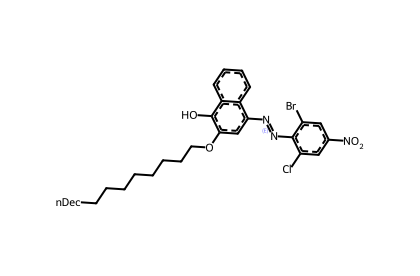 CCCCCCCCCCCCCCCCCCOc1cc(/N=N/c2c(Cl)cc([N+](=O)[O-])cc2Br)c2ccccc2c1O